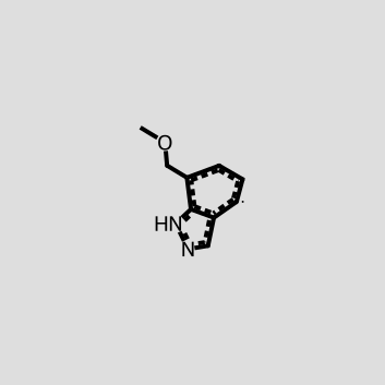 COCc1cc[c]c2cn[nH]c12